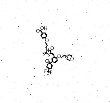 O=C(O)c1ccc(OCCCN2C(=O)C(=Cc3cc(C4(Cl)C=CC(C(F)(F)F)=CC4)ccc3OCCN3CCOCC3)SC2=S)cc1